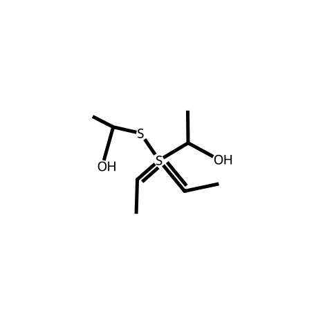 CC=S(=CC)(SC(C)O)C(C)O